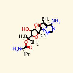 Bc1cc([C@]2(C#N)OC(C(B)(B)OC(=O)[C@@H](N)C(C)C)[C@@H](O)[C@H]2O)n2ncnc(N)c12